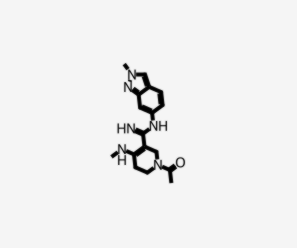 CNC1=C(C(=N)Nc2ccc3cn(C)nc3c2)CN(C(C)=O)CC1